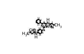 Cc1cc(Nc2cc(-c3ccccc3)nc(Sc3ccc(NC(=O)CC(C)C)cc3)n2)[nH]n1